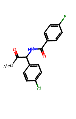 COC(=O)C(NC(=O)c1ccc(F)cc1)c1ccc(Cl)cc1